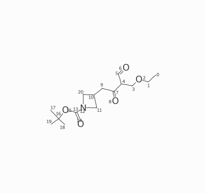 CCOCC(C=O)C(=O)CC1CN(C(=O)OC(C)(C)C)C1